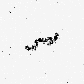 Cc1ncsc1-c1ccc(CNC(=O)[C@@H]2C[C@@H](O)CN2C(=O)[C@@H](NC(=O)N2CC(C(=O)NCc3cccc(-c4cccc(-c5csc(NC(=O)CNC(=O)c6ccn(S(C)(=O)=O)c6)n5)c4)c3)C2)C(C)(C)C)cc1